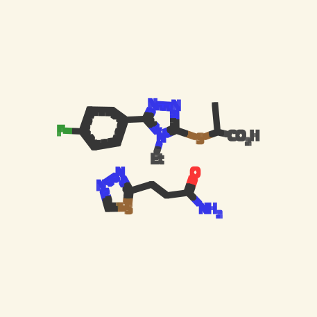 CCn1c(SC(C)C(=O)O)nnc1-c1ccc(F)cc1.NC(=O)CCc1nncs1